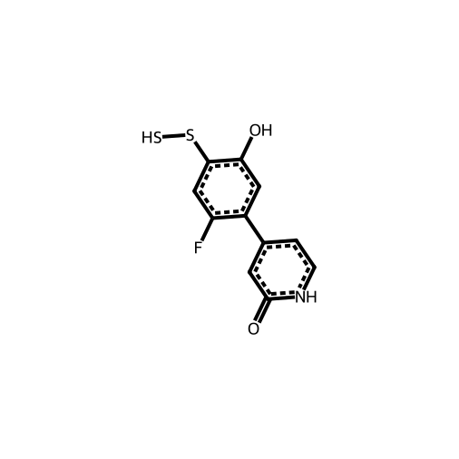 O=c1cc(-c2cc(O)c(SS)cc2F)cc[nH]1